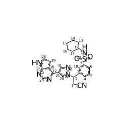 N#CCC(c1cccc(S(=O)(=O)NC2CCCCC2)c1)n1cc(-c2ncnc3[nH]ccc23)cn1